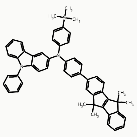 CC1(C)C2=C(c3ccccc31)C(C)(C)c1cc(-c3ccc(N(c4ccc([Si](C)(C)C)cc4)c4ccc5c(c4)c4ccccc4n5-c4ccccc4)cc3)ccc12